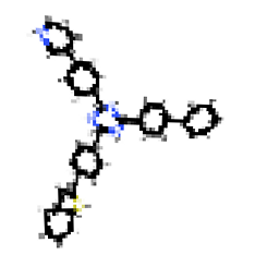 c1ccc(-c2ccc(-c3nc(-c4ccc(-c5cccnc5)cc4)nc(-c4ccc(-c5cc6ccccc6s5)cc4)n3)cc2)cc1